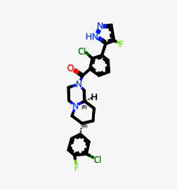 O=C(c1cccc(-c2[nH]ncc2F)c1Cl)N1CCN2C[C@@H](c3ccc(F)c(Cl)c3)CC[C@@H]2C1